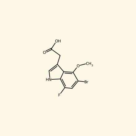 COc1c(Br)cc(F)c2[nH]cc(CC(=O)O)c12